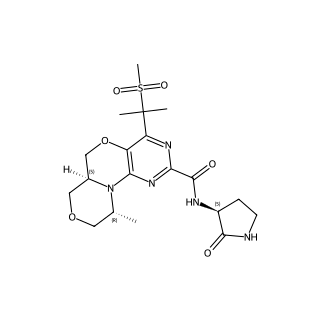 C[C@@H]1COC[C@H]2COc3c(nc(C(=O)N[C@H]4CCNC4=O)nc3C(C)(C)S(C)(=O)=O)N21